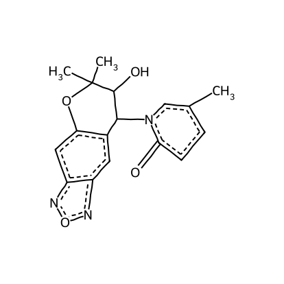 Cc1ccc(=O)n(C2c3cc4nonc4cc3OC(C)(C)C2O)c1